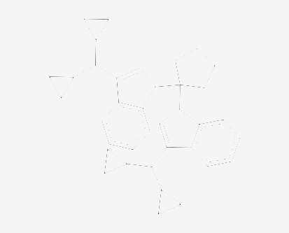 C1=C(C(C2CC2)C2CC2)c2ccccc2C1C1(C2C=C(C(C3CC3)C3CC3)c3ccccc32)CCCC1